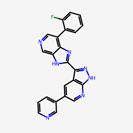 Fc1ccccc1-c1cncc2[nH]c(-c3n[nH]c4ncc(-c5cccnc5)cc34)nc12